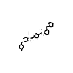 Cc1ccc(CN2CCC(NC(=O)c3ccc(C(=O)Nc4cccc(Cc5ccccc5)c4)cn3)CC2)cc1